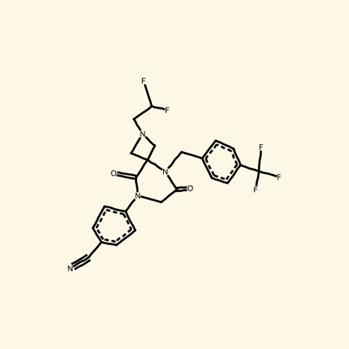 N#Cc1ccc(N2CC(=O)N(Cc3ccc(C(F)(F)F)cc3)C3(CN(CC(F)F)C3)C2=O)cc1